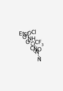 CC[S+]([O-])c1ccc(Cl)cc1CNC(=O)c1cc(Cl)c(CN2CCCN(CCCN(C)C)C2=O)c(C(F)(F)F)c1